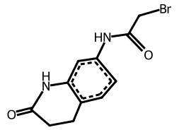 O=C(CBr)Nc1ccc2c(c1)NC(=O)CC2